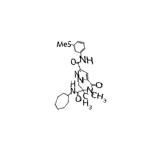 CSc1cccc(NC(=O)c2cc3n(n2)CC(C)(C(=O)NC2CCCCCC2)N(C)C3=O)c1